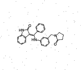 O=C1Nc2ccccc2C1=C(Nc1cccc(CN2CCCC2=O)c1)c1ccccc1